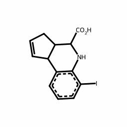 O=C(O)C1Nc2c(I)cccc2C2C=CCC12